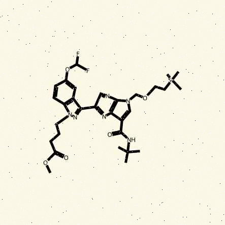 COC(=O)CCCn1nc(-c2cnc3c(n2)c(C(=O)NC(C)(C)C)cn3COCC[Si](C)(C)C)c2cc(OC(F)F)ccc21